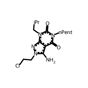 CCCCCn1c(=O)c2c(N)n(CCCl)nc2n(CC(C)C)c1=O